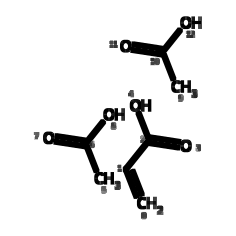 C=CC(=O)O.CC(=O)O.CC(=O)O